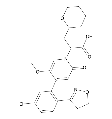 COc1cn(C(CC2CCCCO2)C(=O)O)c(=O)cc1-c1cc(Cl)ccc1C1=NOCC1